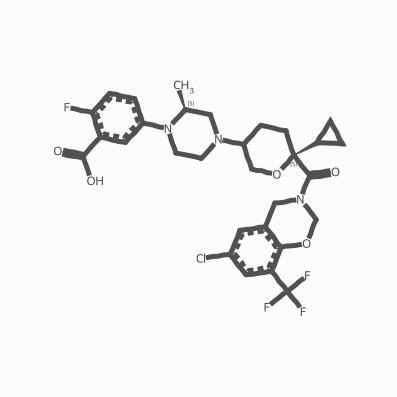 C[C@H]1CN(C2CC[C@@](C(=O)N3COc4c(cc(Cl)cc4C(F)(F)F)C3)(C3CC3)OC2)CCN1c1ccc(F)c(C(=O)O)c1